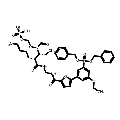 CCCCC[C@@H](C(=O)NCNC(=O)c1ccc(-c2cc(OCC)cc(P(=O)(OCc3ccccc3)OCc3ccccc3)c2)o1)[C@@H](CC)N(C=O)OCOP(=O)(O)O